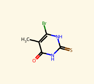 Cc1c(Br)[nH]c(=S)[nH]c1=O